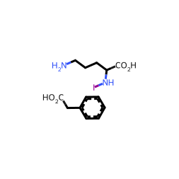 NCCCC(NI)C(=O)O.O=C(O)Cc1ccccc1